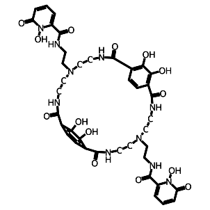 O=C1NCCN(CCNC(=O)c2cccc(=O)n2O)CCNC(=O)c2ccc(c(O)c2O)C(=O)NCCN(CCNC(=O)c2cccc(=O)n2O)CCNC(=O)c2ccc1c(O)c2O